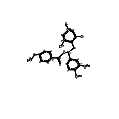 COc1ccc([C@H](Cc2c(Cl)c[n+]([O-])cc2Cl)OC(=O)c2ccc(CO)cc2)cc1OC